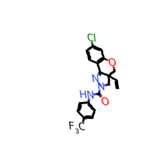 C=CC12COc3cc(Cl)ccc3C1=NN(C(=O)Nc1ccc(C(F)(F)F)cc1)C2